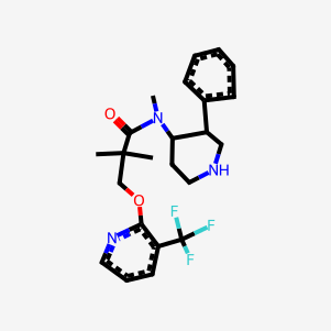 CN(C(=O)C(C)(C)COc1ncccc1C(F)(F)F)C1CCNCC1c1ccccc1